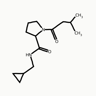 CC(C)CC(=O)N1CCCC1C(=O)NCC1CC1